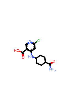 NC(=O)C1CCC(Nc2cc(Cl)ncc2C(=O)O)CC1